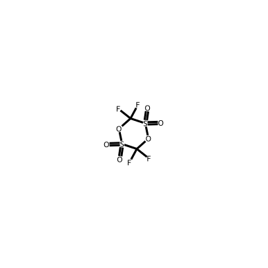 O=S1(=O)OC(F)(F)S(=O)(=O)OC1(F)F